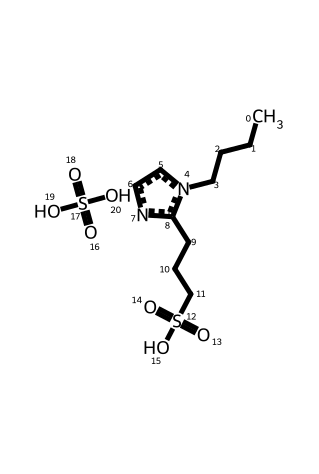 CCCCn1ccnc1CCCS(=O)(=O)O.O=S(=O)(O)O